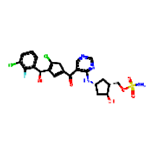 NS(=O)(=O)OC[C@H]1C[C@@H](Nc2ncncc2C(=O)C2=CC(C(O)c3cccc(Cl)c3F)=C(Cl)C2)C[C@@H]1O